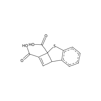 O=C(O)C1=CC2c3ccccc3SC12C(=O)O